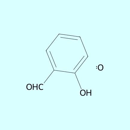 O=Cc1ccccc1O.[O]